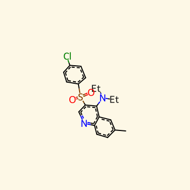 CCN(CC)c1c(S(=O)(=O)c2ccc(Cl)cc2)cnc2ccc(C)cc12